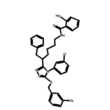 N#Cc1cccc(CSc2nnc(C(CCCCNC(=O)c3ccccc3O)Cc3ccccc3)n2-c2cccc(Cl)c2)c1